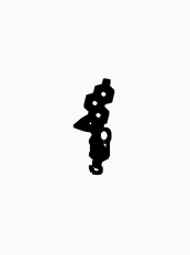 CSc1cnn(CC(=O)C2C3CC3C3C4CCC5CC(C)CCC5C4CCC23C)c1